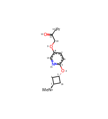 CN[C@H]1C[C@H](Oc2ccc(OCC(=O)C(C)C)cn2)C1